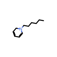 CCCCCCN1C=CC=CC1